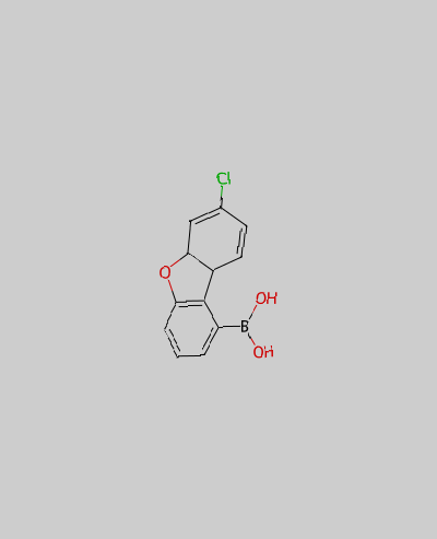 OB(O)c1cccc2c1C1C=CC(Cl)=CC1O2